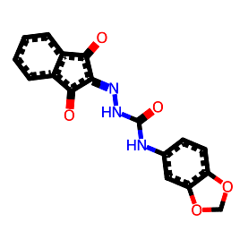 O=C(NN=c1c(=O)c2ccccc2c1=O)Nc1ccc2c(c1)OCO2